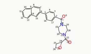 O=C(c1ccc(-c2ccc3ccccc3c2)cc1)N1CCN(C(=O)C2CCO2)CC1